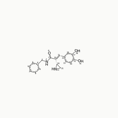 O=C(NCc1ccccc1)/C(=C/c1ccc(O)c(O)c1)[C@@H]1CN1